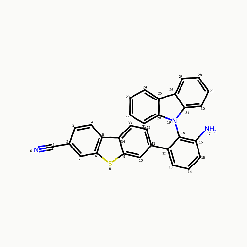 N#Cc1ccc2c(c1)sc1cc(-c3cccc(N)c3-n3c4ccccc4c4ccccc43)ccc12